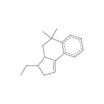 CCC1CC=C2c3ccccc3C(C)(C)CC21